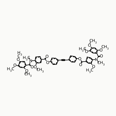 COc1cc(OC)c(C(=O)N(C)c2ccc(C(=O)Oc3ccc(C#Cc4ccc(OC(=O)c5ccc(N(C)C(=O)c6cc(OC)c(OC)cc6OC)c(OC)c5)cc4)cc3)cc2OC)cc1OC